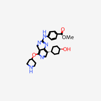 COC(=O)c1ccc(Nc2ncc3c(OC4CCNCC4)ncc([C@H]4CC[C@H](O)CC4)c3n2)cc1